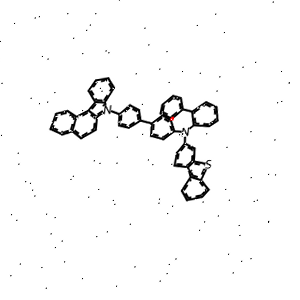 c1ccc(-c2ccccc2N(c2ccc(-c3ccc(-n4c5ccccc5c5c6ccccc6ccc54)cc3)cc2)c2ccc3c(c2)sc2ccccc23)cc1